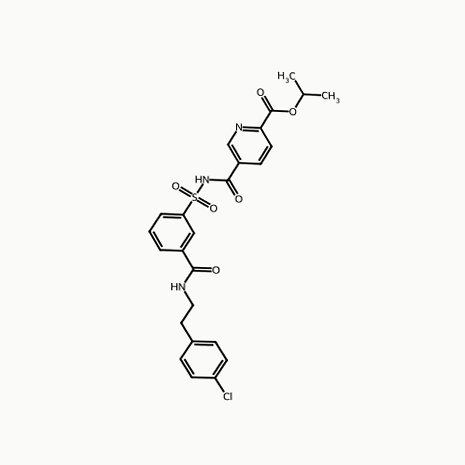 CC(C)OC(=O)c1ccc(C(=O)NS(=O)(=O)c2cccc(C(=O)NCCc3ccc(Cl)cc3)c2)cn1